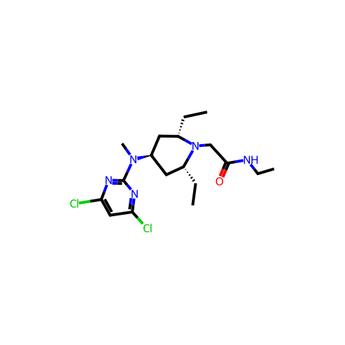 CCNC(=O)CN1[C@H](CC)C[C@@H](N(C)c2nc(Cl)cc(Cl)n2)C[C@@H]1CC